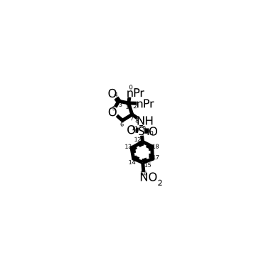 CCCC1(CCC)C(=O)OCC1NS(=O)(=O)c1ccc([N+](=O)[O-])cc1